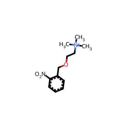 C[N+](C)(C)CCOCc1ccccc1[N+](=O)[O-]